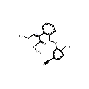 CO/C=C(\C(=O)OC)c1ccccc1COc1cc(C#N)ccc1C